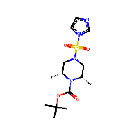 C[C@@H]1CN(S(=O)(=O)n2ccnc2)C[C@H](C)N1C(=O)OC(C)(C)C